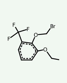 CCOc1cccc(C(F)(F)F)c1OCBr